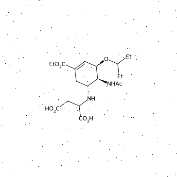 CCOC(=O)C1=C[C@@H](OC(CC)CC)[C@@H](NC(C)=O)[C@H](NC(CC(=O)O)C(=O)O)C1